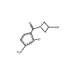 Nc1ccc(C(=O)N2CC(O)C2)c(Cl)c1